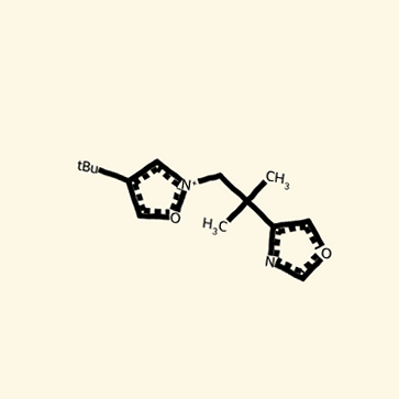 CC(C)(C)c1co[n+](CC(C)(C)c2cocn2)c1